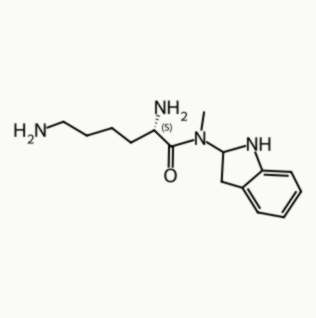 CN(C(=O)[C@@H](N)CCCCN)C1Cc2ccccc2N1